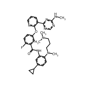 CNc1ncnc(-c2cccnc2Oc2ccc(F)c(C(=O)Nc3cc(C4CC4)ccc3N(C)CCCN(C)C)c2)n1